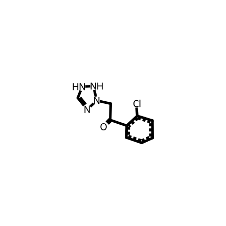 O=C(CN1N=CNN1)c1ccccc1Cl